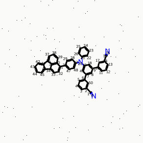 N#Cc1cccc(-c2cc(-c3cccc(C#N)c3)cc(N(c3ccccc3)c3ccc(-c4ccc5c6c(cccc46)-c4ccccc4-5)cc3)c2)c1